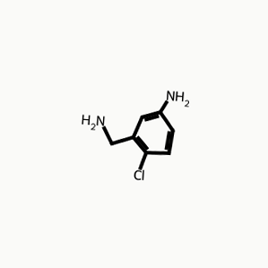 NCc1cc(N)ccc1Cl